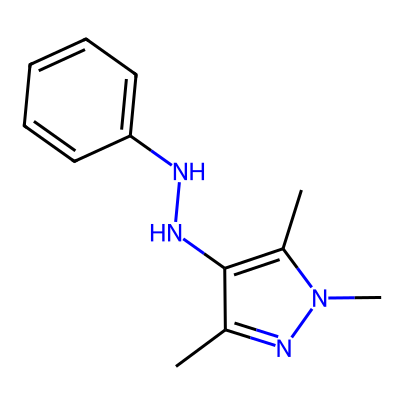 Cc1nn(C)c(C)c1NNc1ccccc1